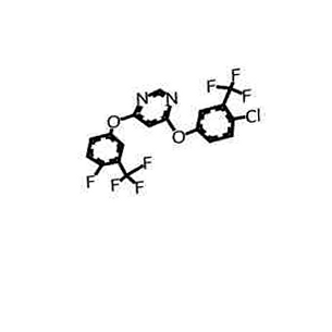 Fc1ccc(Oc2cc(Oc3ccc(Cl)c(C(F)(F)F)c3)ncn2)cc1C(F)(F)F